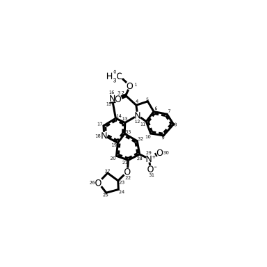 COC(=O)C1Cc2ccccc2N1c1c(C#N)cnc2cc(OC3CCOC3)c([N+](=O)[O-])cc12